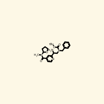 CN(C(=O)c1ccnc(C(N)CN(Cc2ccccc2)C(=O)OC(C)(C)C)c1)C1CCCO1